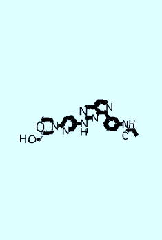 C=CC(=O)Nc1cccc(-c2nccc3cnc(Nc4ccc(N5CCO[C@@H](CO)C5)nc4)nc23)c1